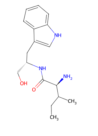 CCC(C)[C@H](N)C(=O)N[C@H](CO)Cc1c[nH]c2ccccc12